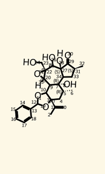 C=C(C)[C@]12C[C@@H](C)[C@@]3(O)C(C1OC(c1ccccc1)O2)[C@@H]1O[C@]1(CO)[C@@H](O)[C@]1(O)C(=O)[C@@H](C)CC31